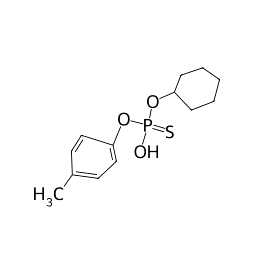 Cc1ccc(OP(O)(=S)OC2CCCCC2)cc1